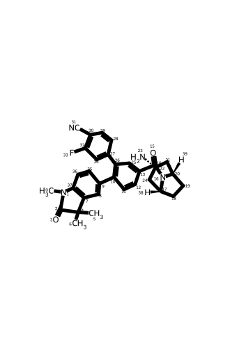 CN1C(=O)C(C)(C)c2cc(-c3ccc(C(=O)N4[C@@H]5CC[C@H]4C[C@@H](N)C5)cc3-c3ccc(C#N)c(F)c3)ccc21